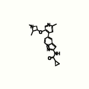 Cc1cc(-c2ccn3nc(NC(=O)C4CC4)cc3c2)c(OC2CN(C)C2C)cn1